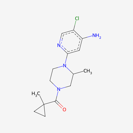 CC1CN(C(=O)C2(C)CC2)CCN1c1cc(N)c(Cl)cn1